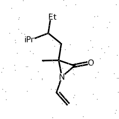 C=CN1C(=O)C1(C)CC(CC)C(C)C